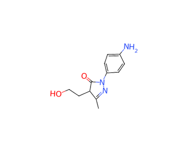 CC1=NN(c2ccc(N)cc2)C(=O)C1CCO